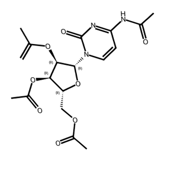 C=C(C)O[C@@H]1[C@H](OC(C)=O)[C@@H](COC(C)=O)O[C@H]1n1ccc(NC(C)=O)nc1=O